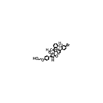 Cc1cc(Br)ccc1-c1cnc(C([C@@H](C)c2ccccc2)N2C(=O)N[C@H](c3ccc(OCCO)cc3)C2=O)[nH]1